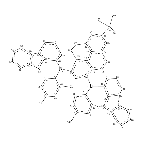 Cc1ccc(N(c2cc(N(c3ccc(C)cc3C)c3cccc4c3sc3ccccc34)c3ccc4cc(C(C)(C)C)cc5c4c3c2CC5)c2cccc3c2sc2ccccc23)c(C)c1